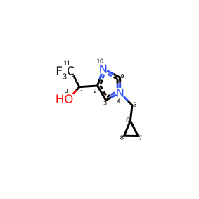 OC(c1cn(CC2CC2)cn1)C(F)(F)F